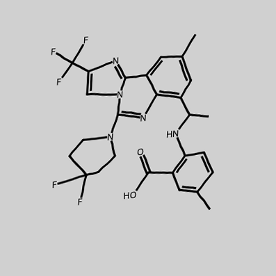 Cc1ccc(NC(C)c2cc(C)cc3c2nc(N2CCC(F)(F)CC2)n2cc(C(F)(F)F)nc32)c(C(=O)O)c1